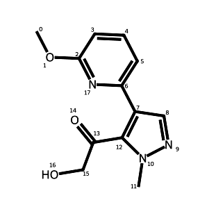 COc1cccc(-c2cnn(C)c2C(=O)CO)n1